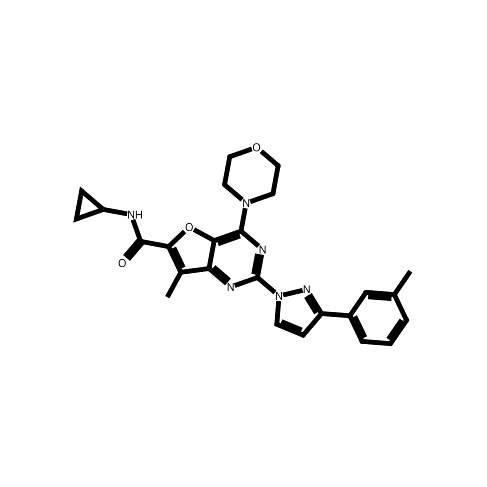 Cc1cccc(-c2ccn(-c3nc(N4CCOCC4)c4oc(C(=O)NC5CC5)c(C)c4n3)n2)c1